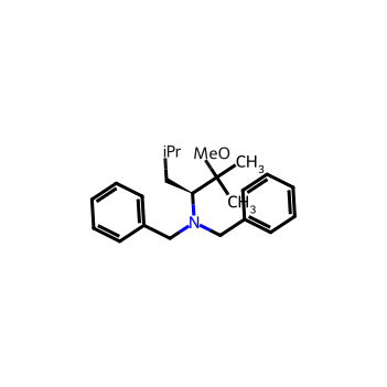 COC(C)(C)[C@H](CC(C)C)N(Cc1ccccc1)Cc1ccccc1